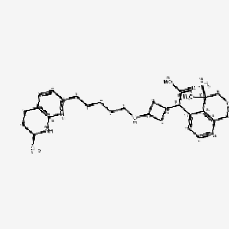 CC1CCc2ccc(CCCCCOC3CN(C(C(=O)O)c4cccc5c4C(C)(C)COC5)C3)nc2N1